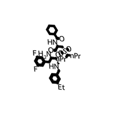 CCCC(CCC)S(=O)(=O)CC(NC(=O)C1CCCCC1)C(=O)O[C@H](CNCc1cccc(CC)c1)[C@@H](N)Cc1cc(F)cc(F)c1